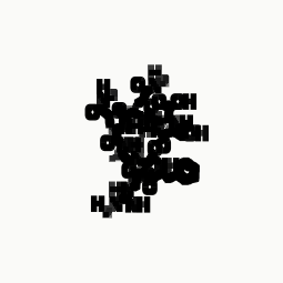 C[C@H](NC(=O)[C@H](CCC(N)=O)NC(=O)[C@H](CCC(N)=O)NC(=O)[C@H](CC(=O)O)NC(=O)[C@@H](N)CO)C(=O)N[C@@H](CCCNC(=N)N)C(=O)N[C@@H](Cc1ccccc1)C(=O)O